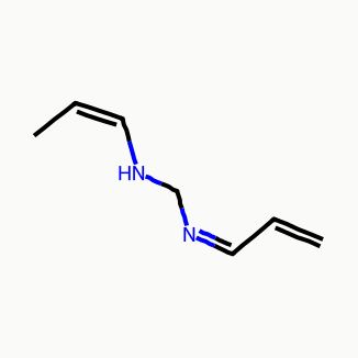 C=C/C=N\CN/C=C\C